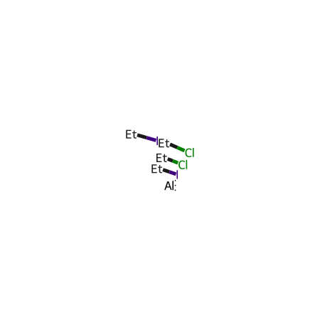 CCCl.CCCl.CCI.CCI.[Al]